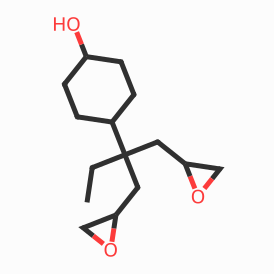 CCC(CC1CO1)(CC1CO1)C1CCC(O)CC1